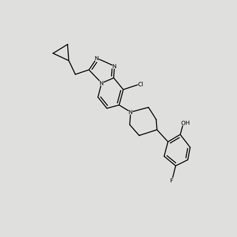 Oc1ccc(F)cc1C1CCN(c2ccn3c(CC4CC4)nnc3c2Cl)CC1